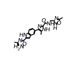 C=C(C)/N=C(\ON)c1cc2cc(-c3nc(C(=O)NCC4N=C(C)ON4)[nH]c3C)ccc2[nH]1